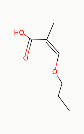 CCCOC=C(C)C(=O)O